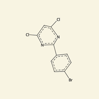 Clc1cc(Cl)nc(-c2ccc(Br)cc2)n1